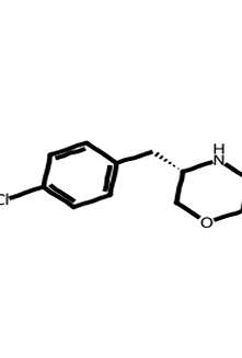 Clc1ccc(C[C@H]2COCCN2)cc1